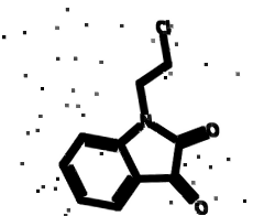 O=C1C(=O)N(CCCl)c2ccccc21